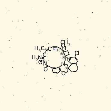 CO[C@H]1/C=C\C[C@H](C)CS(N)(=O)=NC(=O)c2ccc3c(c2)N(C[C@@H]2CC[C@H]21)C[C@@]1(CCCc2cc(Cl)ccc21)CO3